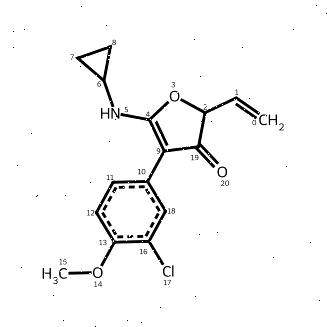 C=CC1OC(NC2CC2)=C(c2ccc(OC)c(Cl)c2)C1=O